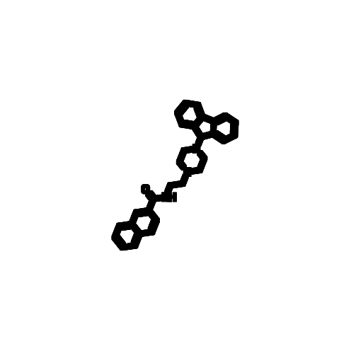 O=C(NCCN1CCN(C2c3ccccc3-c3ccccc32)CC1)c1ccc2ccccc2c1